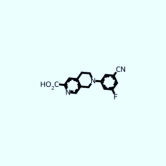 N#Cc1cc(F)cc(N2CCc3cc(C(=O)O)ncc3C2)c1